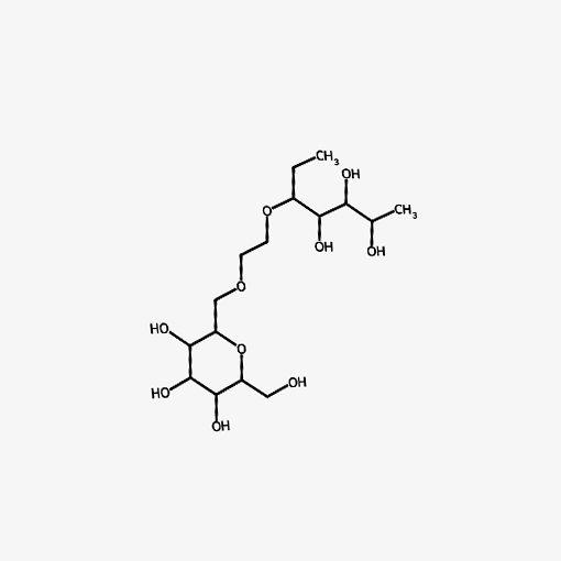 CCC(OCCOCC1OC(CO)C(O)C(O)C1O)C(O)C(O)C(C)O